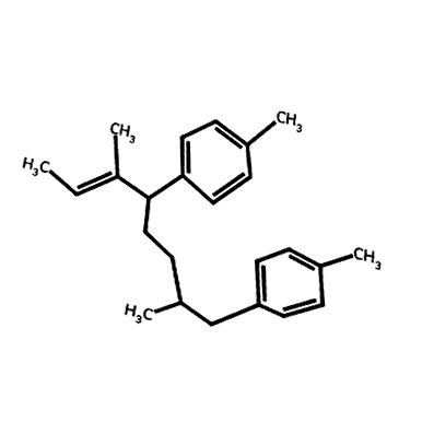 CC=C(C)C(CCC(C)Cc1ccc(C)cc1)c1ccc(C)cc1